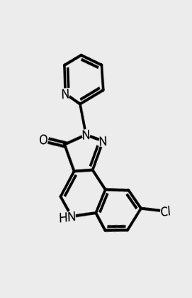 O=c1c2c[nH]c3ccc(Cl)cc3c-2nn1-c1ccccn1